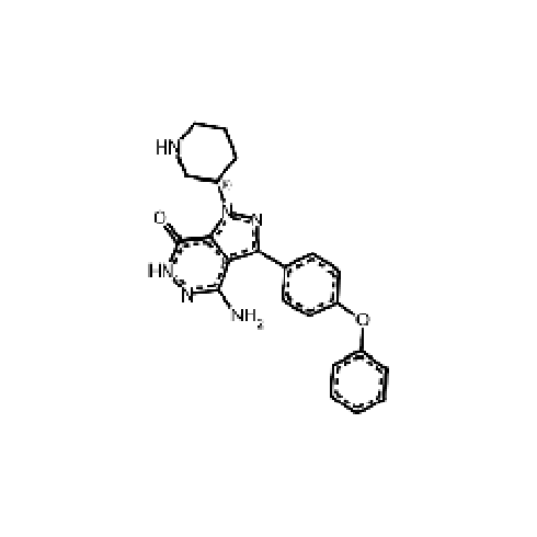 Nc1n[nH]c(=O)c2c1c(-c1ccc(Oc3ccccc3)cc1)nn2[C@@H]1CCCNC1